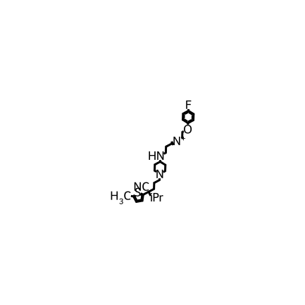 Cc1ccc(C(C#N)(CCCN2CCC(NCCC#[N+]CCOc3ccc(F)cc3)CC2)C(C)C)s1